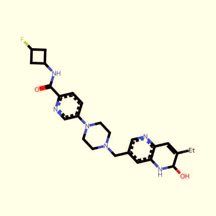 CCC1=Cc2ncc(CN3CCN(c4ccc(C(=O)NC5CC(F)C5)nc4)CC3)cc2NC1O